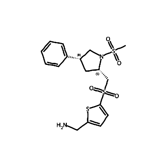 CS(=O)(=O)N1C[C@@H](c2ccccc2)C[C@H]1CS(=O)(=O)c1ccc(CN)s1